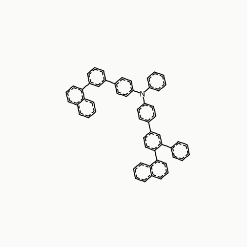 c1ccc(-c2cc(-c3ccc(N(c4ccccc4)c4ccc(-c5cccc(-c6cccc7ccccc67)c5)cc4)cc3)ccc2-c2cccc3ccccc23)cc1